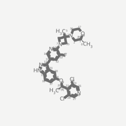 C[C@@H]1CN(C2(C)CN(c3ncc(-c4n[nH]c5ccc(O[C@H](C)c6c(Cl)cncc6Cl)cc45)cc3F)C2)CCO1